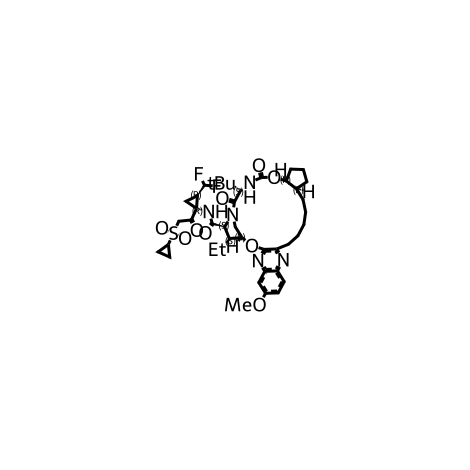 CC[C@@H]1[C@@H]2CN(C(=O)[C@H](C(C)(C)C)NC(=O)O[C@@H]3CCC[C@H]3CCCCCc3nc4ccc(OC)cc4nc3O2)[C@@H]1C(=O)N[C@]1(C(=O)CS(=O)(=O)C2CC2)C[C@H]1C(F)F